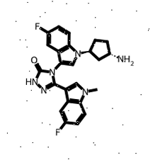 Cn1cc(-c2n[nH]c(=O)n2-c2cn([C@H]3CC[C@H](N)C3)c3ccc(F)cc23)c2cc(F)ccc21